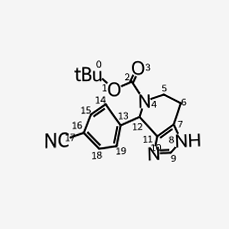 CC(C)(C)OC(=O)N1CCc2[nH]cnc2C1c1ccc(C#N)cc1